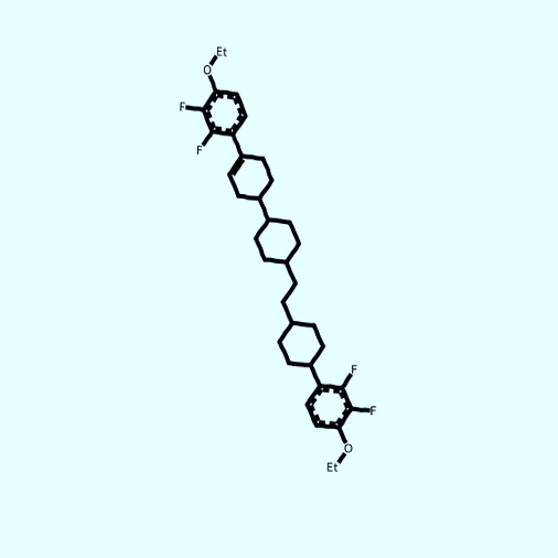 CCOc1ccc(C2=CCC(C3CCC(CCC4CCC(c5ccc(OCC)c(F)c5F)CC4)CC3)CC2)c(F)c1F